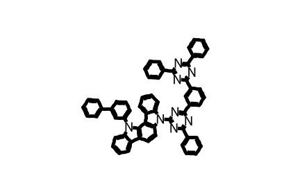 c1ccc(-c2cccc(-n3c4ccccc4c4ccc5c(c6ccccc6n5-c5nc(-c6ccccc6)nc(-c6cccc(-c7nc(-c8ccccc8)nc(-c8ccccc8)n7)c6)n5)c43)c2)cc1